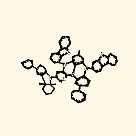 Cc1cc2c3c(c1)N(c1cccc4c1sc1ccccc14)c1cc(N4c5ccc(-c6ccccc6)cc5C5(C)CCCCC45C)ccc1B3c1cc(-c3ccccc3)ccc1N2c1ccc2c(c1)sc1ccccc12